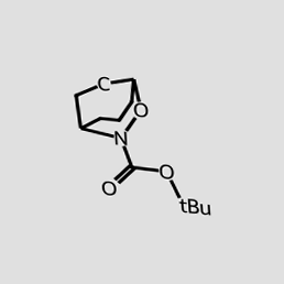 CC(C)(C)OC(=O)N1OC2CCCC1CC2